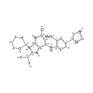 CSc1cc(-c2cn(C)cn2)ccc1Nc1cc(Cl)nc2c1nc(C(F)F)n2C1CCCCO1